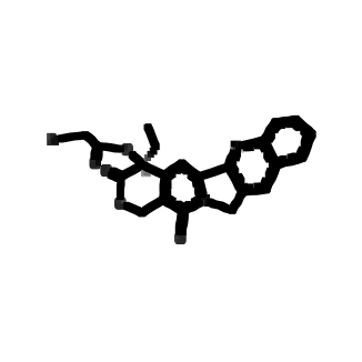 CC[C@@]1(OC(=O)CBr)C(=O)OCc2c1cc1n(c2=O)Cc2cc3ccccc3nc2-1